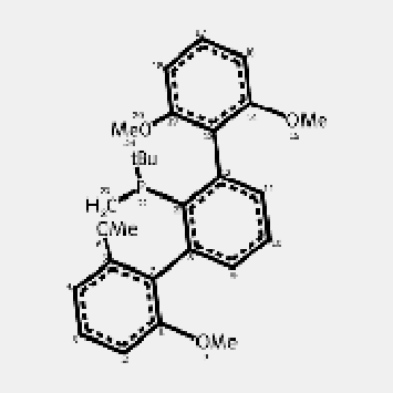 COc1cccc(OC)c1-c1cccc(-c2c(OC)cccc2OC)c1P(C)C(C)(C)C